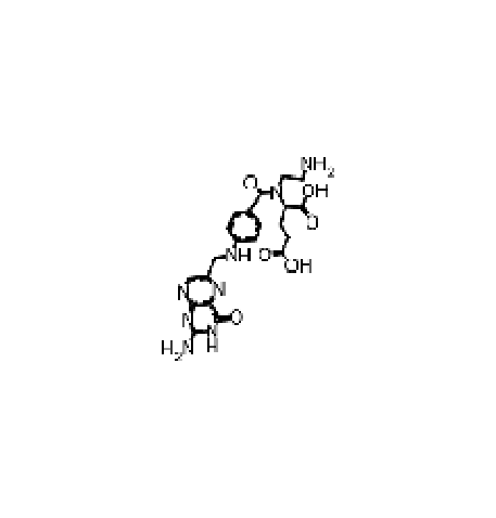 NCCN(C(=O)c1ccc(NCc2cnc3nc(N)[nH]c(=O)c3n2)cc1)C(CCC(=O)O)C(=O)O